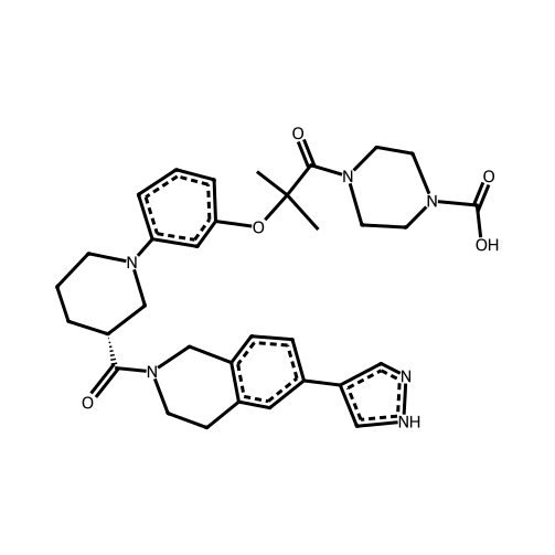 CC(C)(Oc1cccc(N2CCC[C@@H](C(=O)N3CCc4cc(-c5cn[nH]c5)ccc4C3)C2)c1)C(=O)N1CCN(C(=O)O)CC1